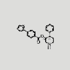 O=C(O[C@@H]1CNCC[C@H]1c1ccccc1)c1ccc(-c2cccs2)cc1